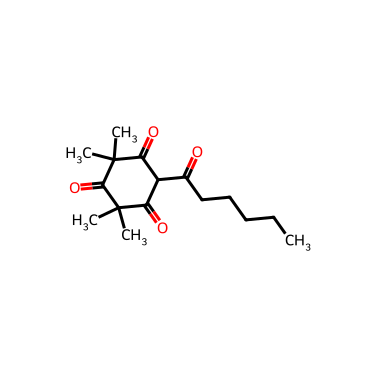 CCCCCC(=O)C1C(=O)C(C)(C)C(=O)C(C)(C)C1=O